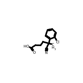 CC(C#N)(CCCC(=O)O)c1ccccc1Cl